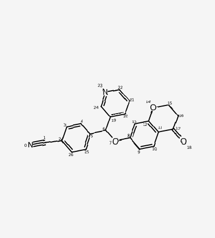 N#Cc1ccc(C(Oc2ccc3c(c2)OCCC3=O)c2cccnc2)cc1